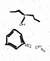 CCP(O)CC.Cl.Cl.[Ru].c1ccccc1